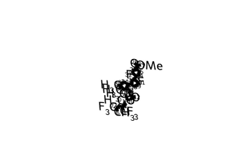 C=C(/C=C(\C=C(/C)C(F)(F)F)C(F)(F)F)[C@H]1OC(=O)N(CC2=C(c3ccc(F)c(-c4ccc(C(=O)OC)cc4F)c3)CCC(C)(C)C2)[C@H]1C